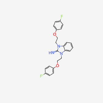 N=c1n(CCOc2ccc(F)cc2)c2ccccc2n1CCOc1ccc(F)cc1